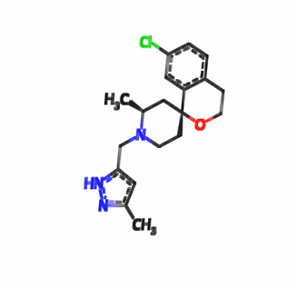 Cc1cc(CN2CC[C@]3(C[C@@H]2C)OCCc2ccc(Cl)cc23)[nH]n1